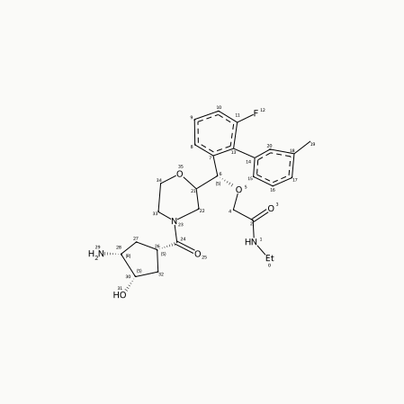 CCNC(=O)CO[C@@H](c1cccc(F)c1-c1cccc(C)c1)C1CN(C(=O)[C@H]2C[C@@H](N)[C@@H](O)C2)CCO1